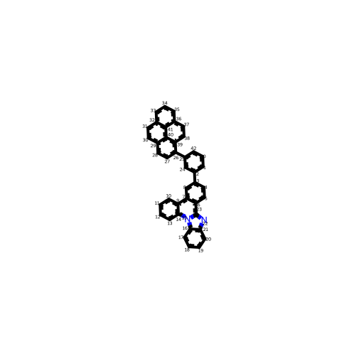 c1cc(-c2ccc3c(c2)c2ccccc2n2c4ccccc4nc32)cc(-c2ccc3ccc4cccc5ccc2c3c45)c1